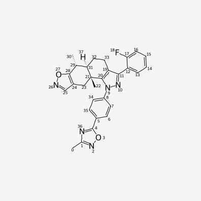 Cc1noc(-c2ccc(-n3nc(-c4ccccc4F)c4c3[C@]3(C)Cc5cnoc5[C@H](C)[C@H]3CC4)cc2)n1